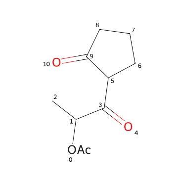 CC(=O)OC(C)C(=O)C1CCCC1=O